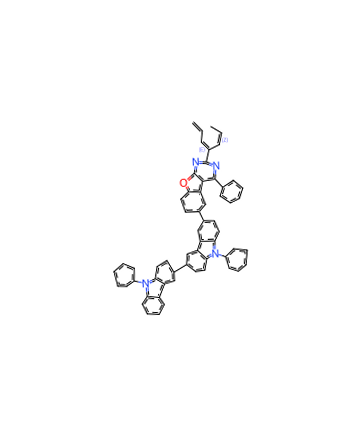 C=C/C=C(\C=C/C)c1nc(-c2ccccc2)c2c(n1)oc1ccc(-c3ccc4c(c3)c3cc(-c5ccc6c(c5)c5ccccc5n6-c5ccccc5)ccc3n4-c3ccccc3)cc12